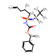 C=CC[C@H](C)CS(=O)(=N[Si](C)(C)C(C)(C)C)NC(=O)O[C@@H](C)c1ccccc1